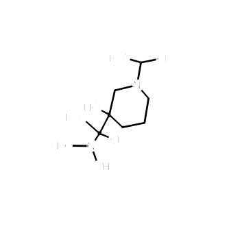 CC(C)N1CCCC(O)(C(C)(C)N(C)C)C1